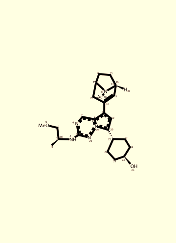 COC[C@H](C)Nc1ncc2c(C3=C[C@H]4CCC(C3)N4C(C)=O)cc([C@H]3CC[C@H](O)CC3)n2n1